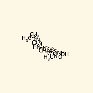 Cc1nc(NC(=O)O)sc1S(=O)(=O)N1CCN(CC(C)Nc2ncnc3c(C(=O)N(C)C)cccc23)CC1